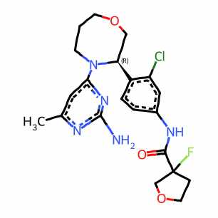 Cc1cc(N2CCCOC[C@H]2c2ccc(NC(=O)C3(F)CCOC3)cc2Cl)nc(N)n1